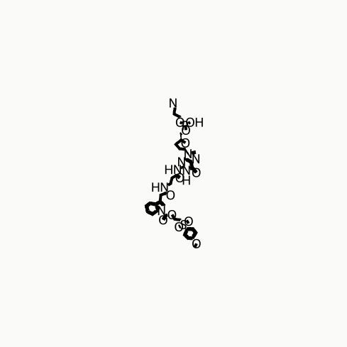 COc1ccc(S(=O)(=O)CCOC(=O)n2cc(CC(=O)NCCC(=O)Nc3nc4c(ncn4[C@H]4CC[C@@H](COP(O)OCCC#N)O4)c(=O)[nH]3)c3ccccc32)cc1